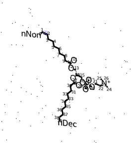 CCCCCCCCC/C=C\CCCCCCCC(=O)OC[C@H](COP(=O)([O-])OCC[N+](C)(C)C)OC(=O)CCCCCCCCCCCCCCCCCCC